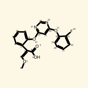 COC=C(C(=O)O)c1ccccc1Oc1cc(Oc2ccccc2F)ncn1